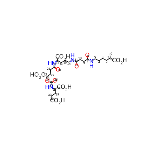 C[C@H](CCCCNC(=O)CCC(=O)NCCC[C@@H](NC(=O)CC[C@H](OC(=O)N[C@@H](CCC(=O)O)C(=O)O)C(=O)O)C(=O)O)C(=O)O